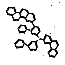 c1ccc(-c2cccc(N(c3ccc(-c4ccc5ccc6c7ccccc7ccc6c5c4)c(-c4ccccc4)c3)c3ccc4ccc5ccccc5c4c3)c2)cc1